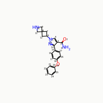 NC(=O)c1cn(C2CC3(CNC3)C2)nc1-c1ccc(Oc2ccccc2)cc1